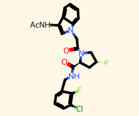 CC(=O)Nc1cn(CC(=O)N2C[C@H](F)C[C@H]2C(=O)NCc2cccc(Cl)c2F)c2ccccc12